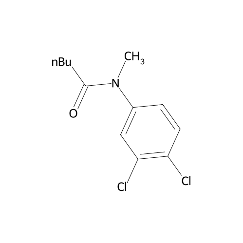 CCCCC(=O)N(C)c1ccc(Cl)c(Cl)c1